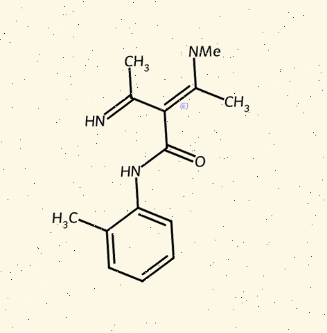 CN/C(C)=C(\C(C)=N)C(=O)Nc1ccccc1C